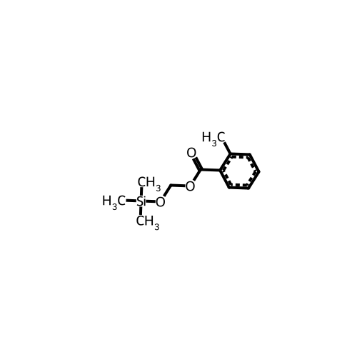 Cc1ccccc1C(=O)OCO[Si](C)(C)C